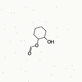 O=COC1CCCCC1O